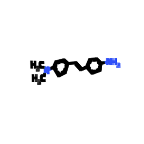 CN(C)c1ccc(C=Cc2ccc(N)cc2)cc1